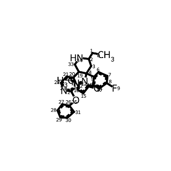 CCC1CC(c2ccc(F)cc2)(n2c(=O)ccn2C)C(c2ccnc(Oc3ccccc3)n2)CN1